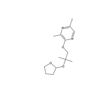 Cc1nc(I)cnc1OCC(C)(C)OC1CCCO1